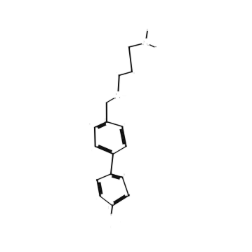 CCN(CC)CCCNCc1ccc(-c2ccc(C(F)(F)F)cc2)cc1